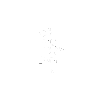 C=CC(=O)Nc1cc(Nc2nccc(-c3cn(C)c4cccc(Cl)c34)n2)c(OC)cc1N(C)CCN(C)C